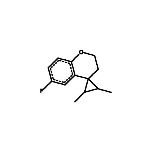 CC1C(C)C12CCOc1ccc(F)cc12